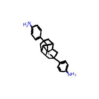 Nc1ccc(C23CC4C5CC6(c7ccc(N)cc7)CC4C(C2)C(C6)C5C3)cc1